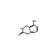 [NH]c1cccc2c1CNC(=O)N2